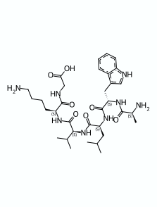 CC(C)C[C@H](NC(=O)[C@H](Cc1c[nH]c2ccccc12)NC(=O)[C@H](C)N)C(=O)N[C@H](C(=O)N[C@@H](CCCCN)C(=O)NCC(=O)O)C(C)C